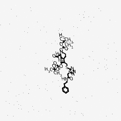 CC(C)(C)OC(=O)OC1=C(CSc2nnnn2CC(=O)NCCc2ccccc2)C2CCN(OC(=O)OC(C)(C)C)[C@@H]3C(=O)N1[C@H]23